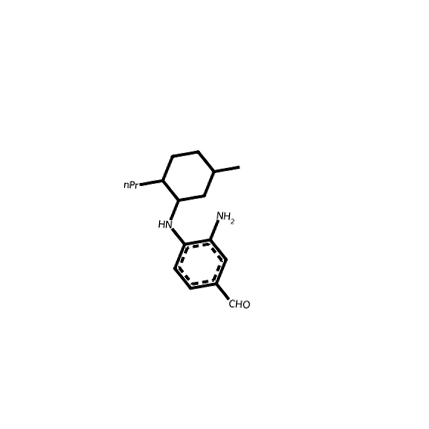 CCCC1CCC(C)CC1Nc1ccc(C=O)cc1N